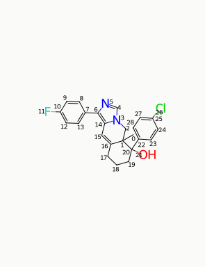 CC12Cn3cnc(-c4ccc(F)cc4)c3C=C1CCCC2(O)c1ccc(Cl)cc1